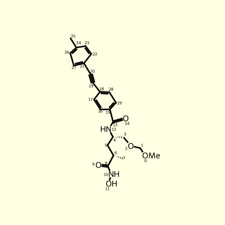 COCOC[C@H](C[C@H](C)C(=O)NO)NC(=O)c1ccc(C#Cc2ccc(C)cc2)cc1